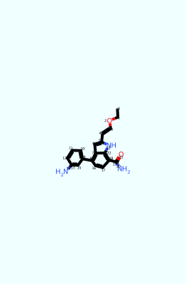 CCO/C=C/c1cc2c(-c3cccc(N)c3)ccc(C(N)=O)c2[nH]1